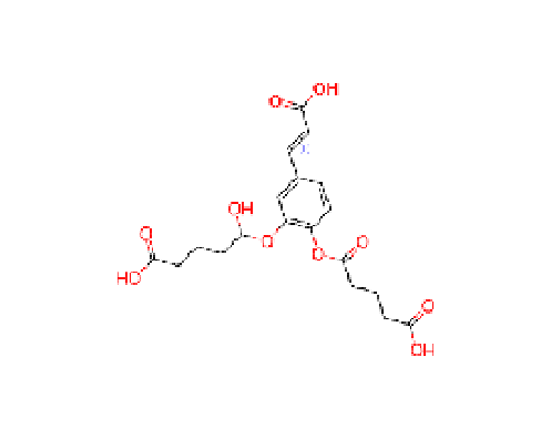 O=C(O)/C=C/c1ccc(OC(=O)CCCC(=O)O)c(OC(O)CCCC(=O)O)c1